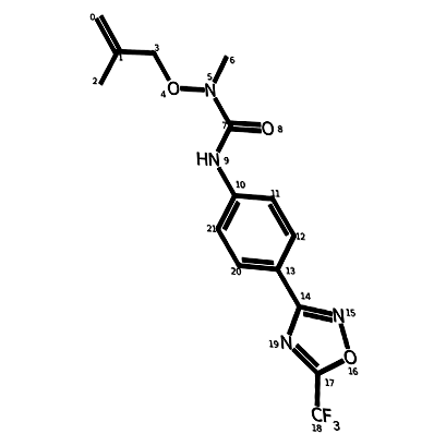 C=C(C)CON(C)C(=O)Nc1ccc(-c2noc(C(F)(F)F)n2)cc1